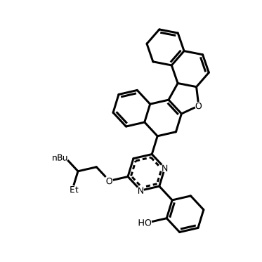 CCCCC(CC)COc1cc(C2CC3=C(C4C=CC=CC42)C2C4=C(C=CCC4)C=CC2O3)nc(C2=C(O)C=CCC2)n1